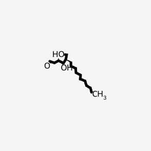 CCCCCCCCCCC[C@H](CO)C(O)[CH]CC=O